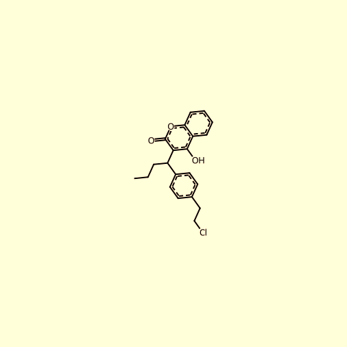 CCCC(c1ccc(CCCl)cc1)c1c(O)c2ccccc2oc1=O